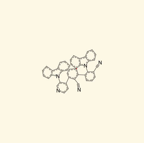 N#Cc1cccc(-c2cccc(-c3ccncc3-n3c4ccccc4c4ccccc43)c2C#N)c1-n1c2ccccc2c2ccccc21